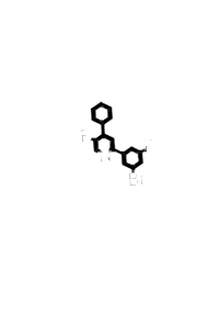 Fc1cc(Br)cc(-c2cc(-c3ccccc3)c(F)cn2)c1